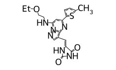 CCOCCNc1cc(-c2ccc(C)s2)nc2c(/C=C3\NC(=O)NC3=O)cnn12